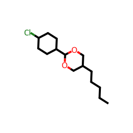 CCCCCC1COC(C2CCC(Cl)CC2)OC1